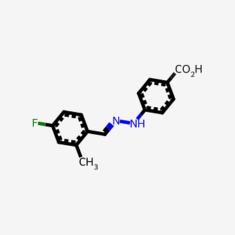 Cc1cc(F)ccc1C=NNc1ccc(C(=O)O)cc1